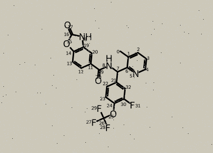 Cc1cccnc1C(NC(=O)c1ccc2oc(=O)[nH]c2c1)c1ccc(OC(F)(F)F)c(F)c1